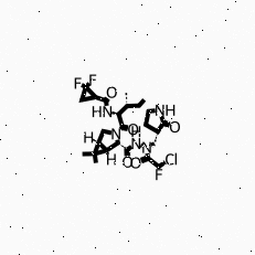 CC[C@@H](C)[C@H](NC(=O)C1CC1(F)F)C(=O)N1C[C@H]2[C@@H]([C@H]1C(=O)NN(C[C@@H]1CCNC1=O)C(=O)[C@H](F)Cl)C2(C)C